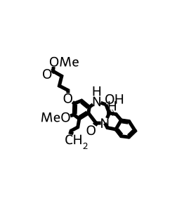 C=CCc1c(OC)c(OCCCC(=O)OC)cc2c1C(=O)N1Cc3ccccc3C[C@H]1C(O)N2